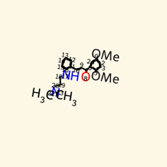 COc1ccc(OC)c(C(=O)C=Cc2ccccc2NCCCN(C)C)c1